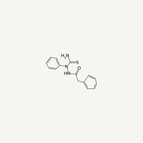 NC(=S)N(NC(=O)Cc1ccccc1)c1ccccc1